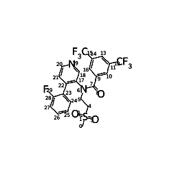 CS(=O)(=O)CCN(C(=O)c1cc(C(F)(F)F)cc(C(F)(F)F)c1)c1cnccc1-c1ccccc1F